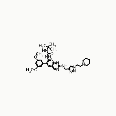 COc1cc(OC)cc(-c2cc3cnc(NCc4cn(CCN5CCCCC5)nn4)nc3nc2NC(=O)NC(C)(C)C)c1